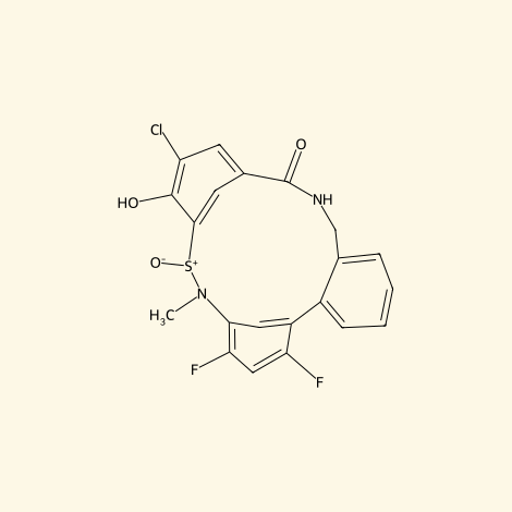 CN1c2cc(c(F)cc2F)-c2ccccc2CNC(=O)c2cc(Cl)c(O)c(c2)[S+]1[O-]